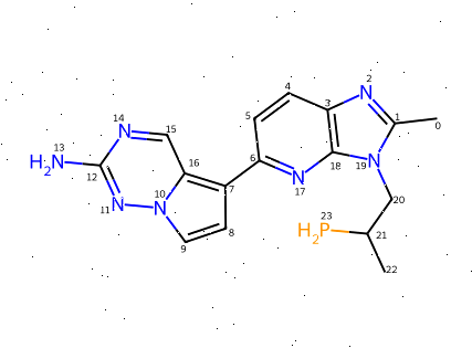 Cc1nc2ccc(-c3ccn4nc(N)ncc34)nc2n1CC(C)P